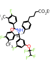 CCOC(=O)CCCc1ccc(C[C@](NC(=O)c2ccc(F)c(C(F)(F)F)c2)(c2cc(F)cc(OC(F)(F)C(F)F)c2)c2ccc(F)c(C(F)(F)F)c2)cc1